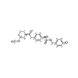 CO[C@@H]1CCCN(C(=O)Cc2ccc(NC(=O)OCc3ccc(Cl)cc3)cc2)C1